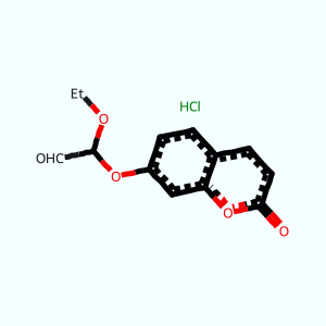 CCOC(C=O)Oc1ccc2ccc(=O)oc2c1.Cl